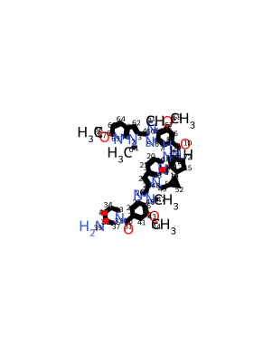 CCn1c(-c2nc3cc(C(=O)N4C[C@H]5CC[C@@H]4[C@@H]5Nc4ccc5cc(-c6nc7cc(C(=O)N8CC9CCC8C(N)C9)cc(OC)c7n6C)n(CC6CC6)c5n4)cc(OC)c3n2C)cc2ccc(OC)nc21